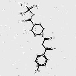 CC(C)(C)OC(=O)N1CCN(C(=O)CC(=O)c2ccc(Cl)cc2)CC1